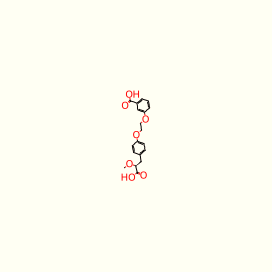 CO[C@@H](Cc1ccc(OCCOc2cccc(C(=O)O)c2)cc1)C(=O)O